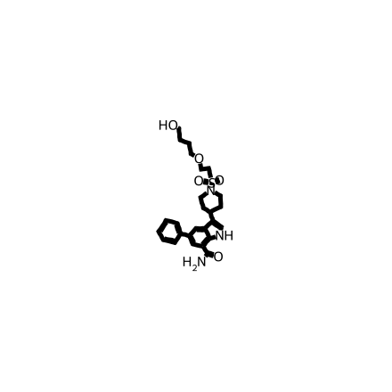 NC(=O)c1cc(-c2ccccc2)cc2c(C3CCN(S(=O)(=O)CCOCCCCO)CC3)c[nH]c12